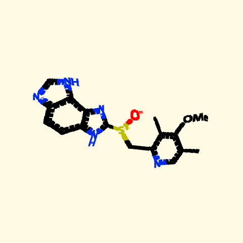 COc1c(C)cnc(C[S+]([O-])c2nc3c(ccc4nc[nH]c43)[nH]2)c1C